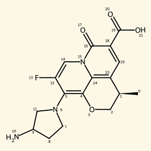 C[C@H]1COc2c(N3CCC(N)C3)c(F)cn3c(=O)c(C(=O)O)cc1c23